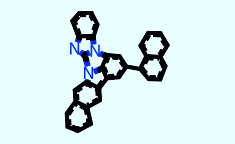 c1ccc2cc3c(cc2c1)c1cc(-c2cccc4ccccc24)cc2c1n3c1nc3ccccc3n21